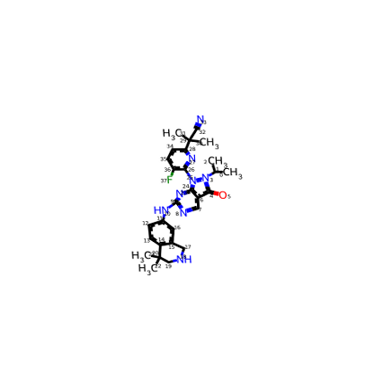 CC(C)n1c(=O)c2cnc(Nc3ccc4c(c3)CNCC4(C)C)nc2n1-c1nc(C(C)(C)C#N)ccc1F